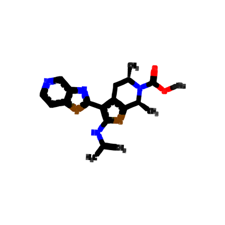 C=C(C)Nc1sc2c(c1-c1nc3cnccc3s1)C[C@H](C)N(C(=O)OC(C)(C)C)[C@H]2C